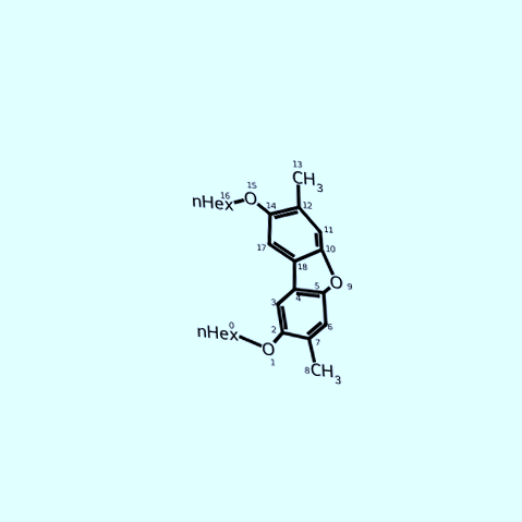 CCCCCCOc1cc2c(cc1C)oc1cc(C)c(OCCCCCC)cc12